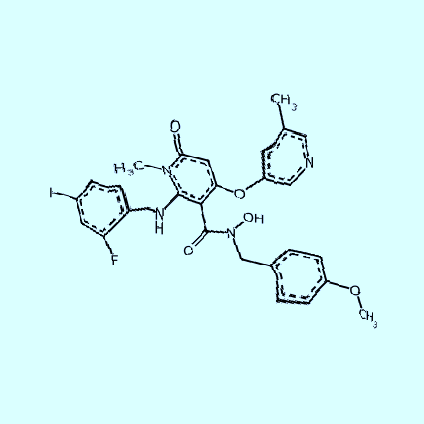 COc1ccc(CN(O)C(=O)c2c(Oc3cncc(C)c3)cc(=O)n(C)c2Nc2ccc(I)cc2F)cc1